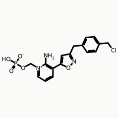 Nc1c(-c2cc(Cc3ccc(CCl)cc3)no2)ccc[n+]1COP(=O)([O-])O